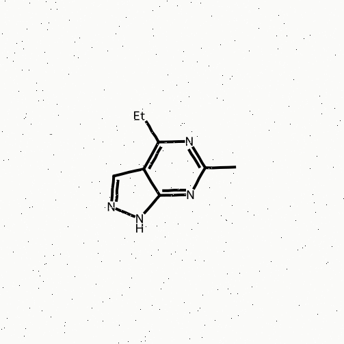 CCc1nc(C)nc2[nH]ncc12